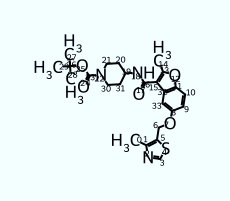 Cc1ncsc1COc1ccc2oc(C)c(C(=O)NC3CCN(C(=O)OC(C)(C)C)CC3)c2c1